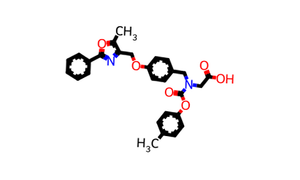 Cc1ccc(OC(=O)N(CC(=O)O)Cc2ccc(OCc3nc(-c4ccccc4)oc3C)cc2)cc1